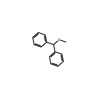 CO[C](c1ccccc1)c1ccccc1